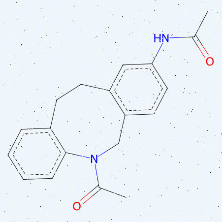 CC(=O)Nc1ccc2c(c1)CCc1ccccc1N(C(C)=O)C2